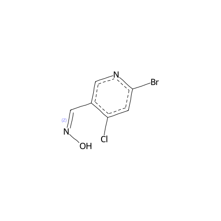 O/N=C\c1cnc(Br)cc1Cl